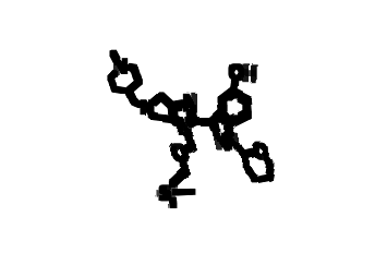 CN1CCC(CN2Cc3nc(-c4nn(C5CCCCO5)c5ccc(O)cc45)n(COCC[Si](C)(C)C)c3C2)CC1